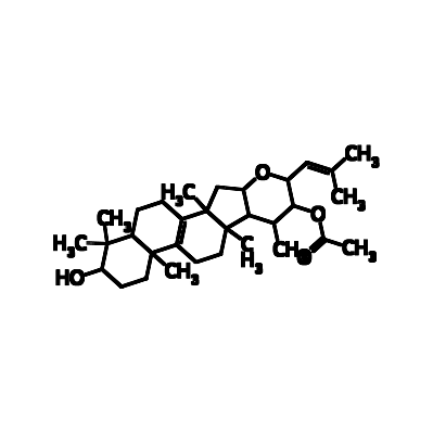 CC(=O)OC1C(C=C(C)C)OC2CC3(C)C4=C(CCC3(C)C2C1C)C1(C)CCC(O)C(C)(C)C1CC4